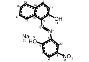 O=[N+]([O-])c1ccc(O)c(N=Nc2c(O)ccc3ccccc23)c1.[Na]